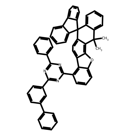 CC1(C)c2ccccc2C2(c3ccccc3-c3ccccc32)c2ccc3c(oc4cccc(-c5nc(-c6ccccc6)nc(-c6cccc(-c7ccccc7)c6)n5)c43)c21